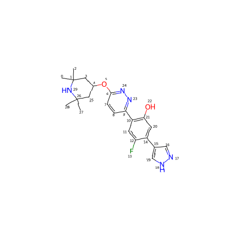 CC1(C)CC(Oc2ccc(-c3cc(F)c(-c4cn[nH]c4)cc3O)nn2)CC(C)(C)N1